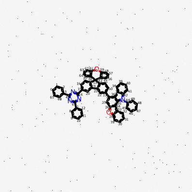 c1ccc(-c2nc(-c3ccccc3)nc(-c3ccc4c(c3)-c3cc(-c5cc6oc7ccccc7c6c6c5c5ccccc5n6-c5ccccc5)ccc3C43c4ccccc4Oc4ccccc43)n2)cc1